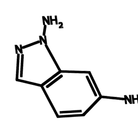 Nc1ccc2cnn(N)c2c1